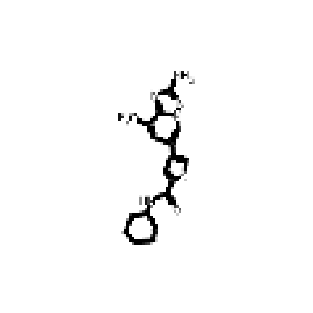 Nc1nc2c(C(F)(F)F)cc(-c3csc(C(=O)NC4CCCCC4)c3)cn2n1